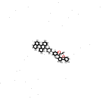 C=Cc1oc2cc(C3=CC=C(c4c5ccccc5c(-c5cccc6ccccc56)c5ccccc45)CC3)ccc2c1-c1c(C)ccc2c1oc1ccccc12